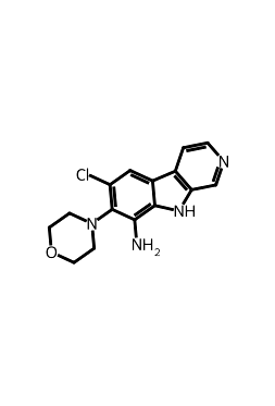 Nc1c(N2CCOCC2)c(Cl)cc2c1[nH]c1cnccc12